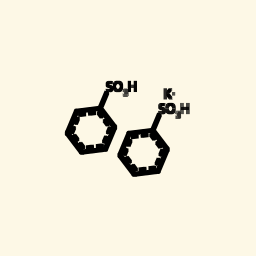 O=S(=O)(O)c1ccccc1.O=S(=O)(O)c1ccccc1.[K]